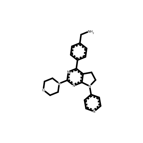 NCc1ccc(-c2nc(N3CCOCC3)nc3c2CCN3c2ccncc2)cc1